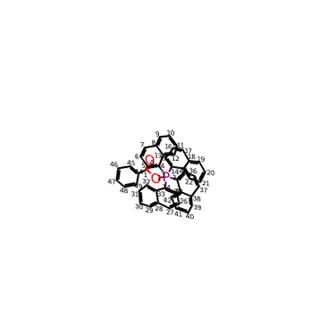 O=C(OP(c1cccc2ccccc12)(c1cccc2ccccc12)(c1cccc2ccccc12)c1cccc2ccccc12)c1ccccc1